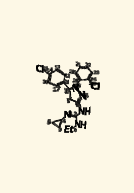 CCNC(=NC1CC1)Nc1cc(-c2ccc(Cl)cc2)n(-c2ccccc2Cl)n1